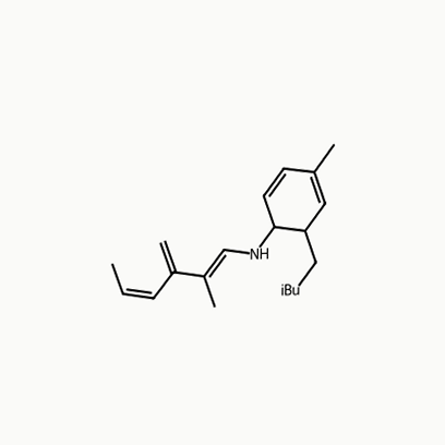 C=C(/C=C\C)/C(C)=C/NC1C=CC(C)=CC1CC(C)CC